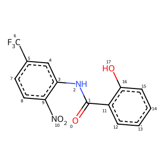 O=C(Nc1cc(C(F)(F)F)ccc1[N+](=O)[O-])c1c[c]ccc1O